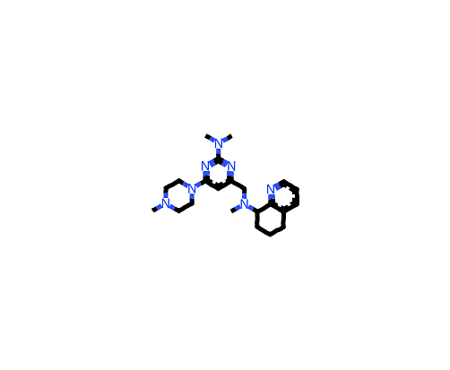 CN1CCN(c2cc(CN(C)C3CCCc4cccnc43)nc(N(C)C)n2)CC1